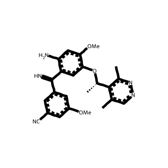 COc1cc(C#N)cc(C(=N)c2cc(O[C@@H](C)c3c(C)cnnc3C)c(OC)cc2N)c1